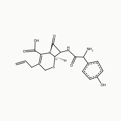 C=CCC1=C(C(=O)O)N2C(=O)C(NC(=O)C(N)c3ccc(O)cc3)[C@H]2SC1